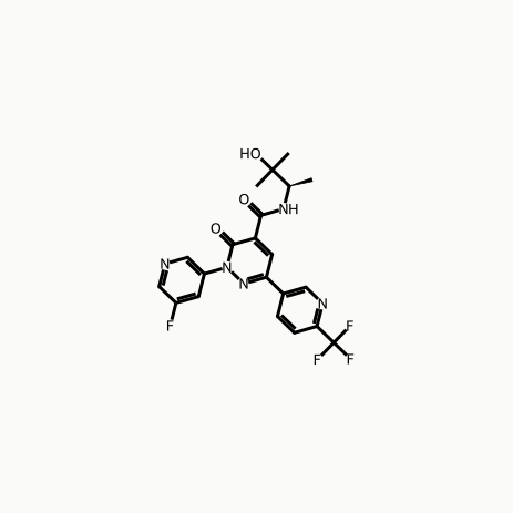 C[C@@H](NC(=O)c1cc(-c2ccc(C(F)(F)F)nc2)nn(-c2cncc(F)c2)c1=O)C(C)(C)O